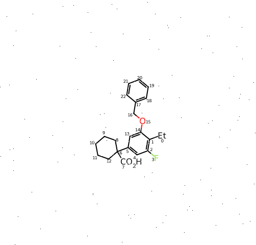 CCc1c(F)cc(C2(C(=O)O)CCCCC2)cc1OCc1ccccc1